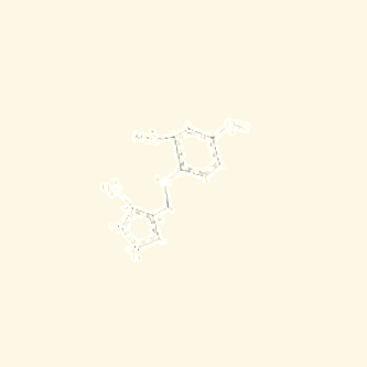 COc1cc(C=O)ccc1OCc1c[nH]nc1C